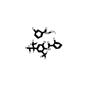 CNC(=O)c1cccc(F)c1.O=C(Nc1c(Br)cc(C(F)(C(F)(F)F)C(F)(F)F)cc1C(F)(F)F)c1ccccc1F